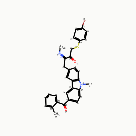 CCn1c2ccc(C/C(=N/OC(C)=O)C(=O)CSc3ccc(Br)cc3)cc2c2cc(C(=O)c3ccccc3C)ccc21